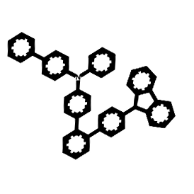 c1ccc(-c2ccc(N(c3ccccc3)c3ccc(-c4ccccc4-c4ccc(C5c6ccccc6-c6ccccc65)cc4)cc3)cc2)cc1